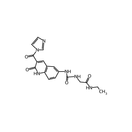 CCNC(=O)CNC(=O)Nc1ccc2[nH]c(=O)c(C(=O)n3ccnc3)cc2c1